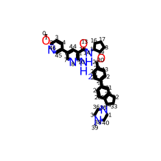 COc1ccc(-c2cnc(N)c(C(=O)N[C@H]3CCC[C@@H]3OCc3ccc(-c4ccc5c(c4)CC[C@@H]5N4CCN(C)CC4)cc3)c2)cn1